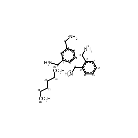 NCc1cccc(CN)c1.NCc1ccccc1CN.O=C(O)CCCCC(=O)O